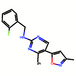 Cc1cc(-c2cnc(NCc3ccccc3F)nc2C(C)C)on1